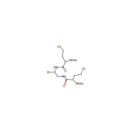 CCC(CNC(=O)C(CCS)NC(C)=O)NC(=O)C(CCS)NC(C)=O